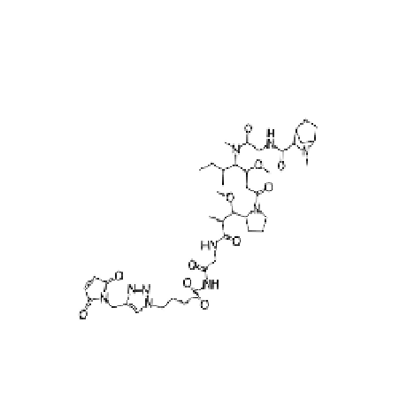 CCC(C)C(C(CC(=O)N1CCCC1C(OC)C(C)C(=O)NCC(=O)NS(=O)(=O)CCCn1cc(CN2C(=O)C=CC2=O)nn1)OC)N(C)C(=O)CNC(=O)C1C2CCC(C2)N1C